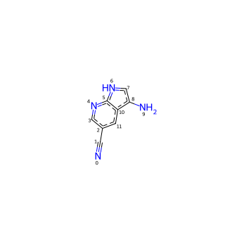 N#Cc1cnc2[nH]cc(N)c2c1